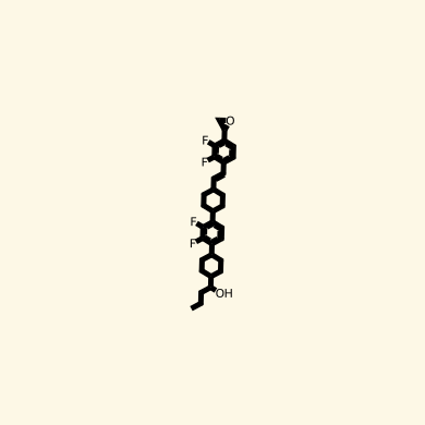 CCCC(O)C1CCC(c2ccc(C3CCC(/C=C/c4ccc(C5CO5)c(F)c4F)CC3)c(F)c2F)CC1